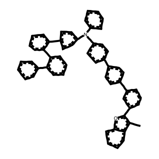 Cc1c(-c2cccc(-c3ccc(-c4ccc(N(c5ccccc5)c5ccc(-c6ccccc6-c6ccccc6-c6ccccc6)cc5)cc4)cc3)c2)oc2ccccc12